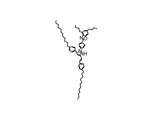 CCCCCCCCCCCCc1ccc(C=CC2=CC(c3ccc(CCCCCCCCCCCC)cc3)N(c3ccc(-c4nc5c(CCCC)cc(CCCC)cc5o4)cc3)N2)cc1